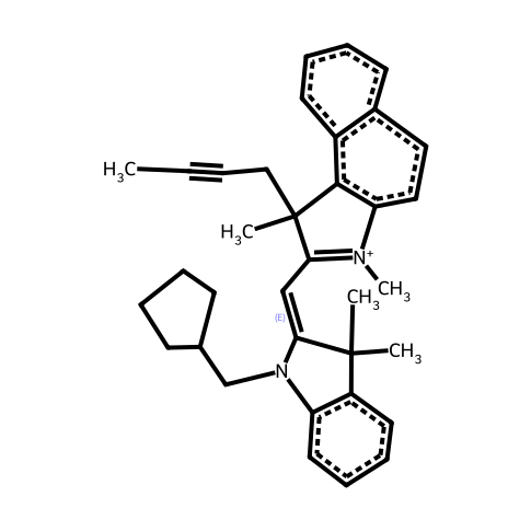 CC#CCC1(C)C(/C=C2/N(CC3CCCC3)c3ccccc3C2(C)C)=[N+](C)c2ccc3ccccc3c21